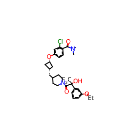 CCOc1cccc(C(O)(C(=O)N2CCC(C[C@H]3C[C@@H](Oc4ccc(C(=O)N(C)C)c(Cl)c4)C3)CC2)C(F)(F)F)c1